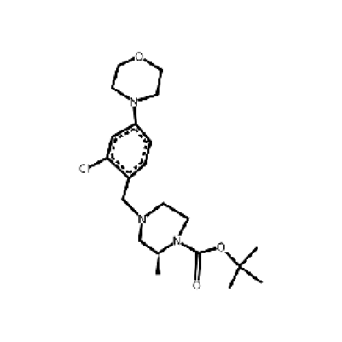 C[C@H]1CN(Cc2ccc(N3CCOCC3)cc2Cl)CCN1C(=O)OC(C)(C)C